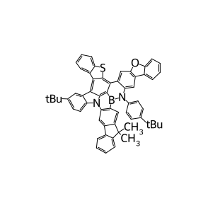 CC(C)(C)c1ccc(N2B3c4cc5c(cc4-n4c6ccc(C(C)(C)C)cc6c6c7c(sc8ccccc87)c(c3c64)-c3cc4oc6ccccc6c4cc32)-c2ccccc2C5(C)C)cc1